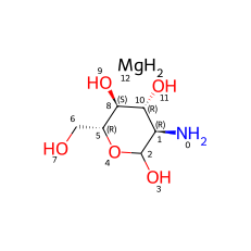 N[C@H]1C(O)O[C@H](CO)[C@@H](O)[C@@H]1O.[MgH2]